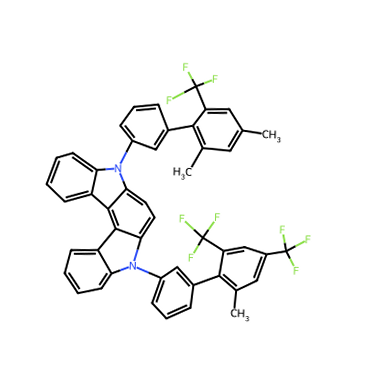 Cc1cc(C)c(-c2cccc(-n3c4ccccc4c4c5c6ccccc6n(-c6cccc(-c7c(C)cc(C(F)(F)F)cc7C(F)(F)F)c6)c5ccc43)c2)c(C(F)(F)F)c1